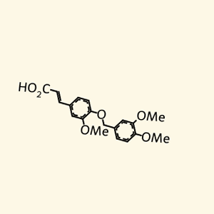 COc1ccc(COc2ccc(C=CC(=O)O)cc2OC)cc1OC